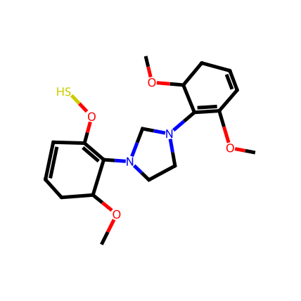 COC1=C(N2CCN(C3=C(OS)C=CCC3OC)C2)C(OC)CC=C1